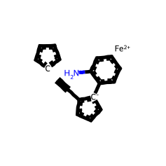 C#Cc1ccc[c-]1-c1ccccc1N.[Fe+2].c1cc[cH-]c1